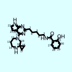 O=C(NCCCCCc1nc(N2CCCNC3(CC3)C2)c2cc[nH]c2n1)c1ccccc1O